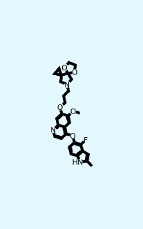 COc1cc2c(Oc3ccc4[nH]c(C)cc4c3F)ccnc2cc1OCCCN1CC2(CC2)C2(C1)OCCO2